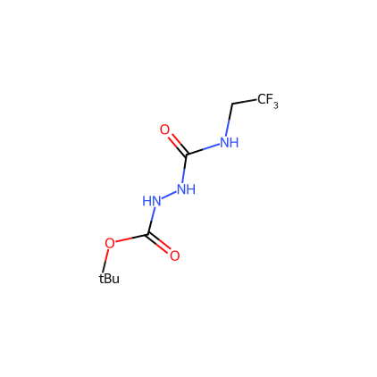 CC(C)(C)OC(=O)NNC(=O)NCC(F)(F)F